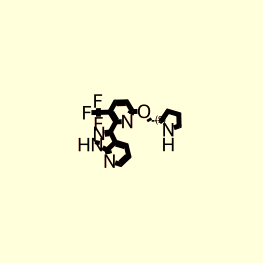 FC(F)(F)c1ccc(OC[C@@H]2CCCN2)nc1-c1n[nH]c2ncccc12